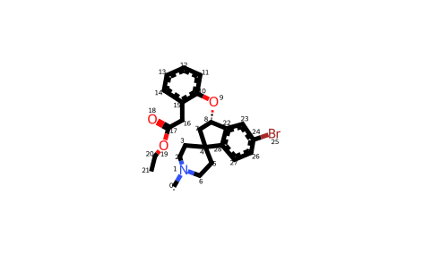 [CH2]N1CCC2(CC1)C[C@H](Oc1ccccc1CC(=O)OCC)c1cc(Br)ccc12